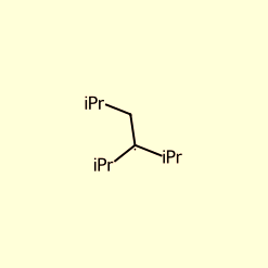 CC(C)C[C](C(C)C)C(C)C